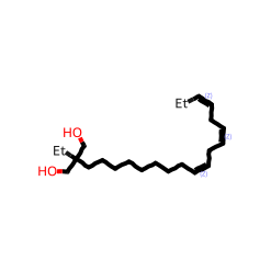 CC/C=C\C/C=C\C/C=C\CCCCCCCCC(CC)(CO)CO